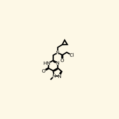 Cn1ncc2nc(CN(CC3CC3)C(=O)CCl)[nH]c(=O)c21